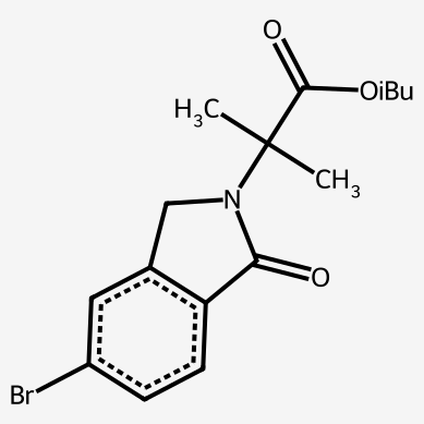 CC(C)COC(=O)C(C)(C)N1Cc2cc(Br)ccc2C1=O